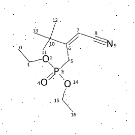 CCOP(=O)(C/C(=C\C#N)C(C)(C)C)OCC